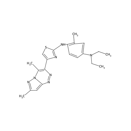 CCN(CC)c1ccc(Nc2nc(-c3nnc4cc(C)nn4c3C)cs2)c(C)c1